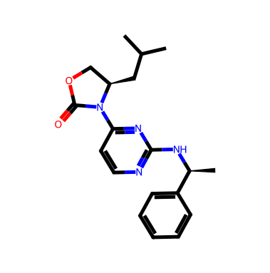 CC(C)C[C@@H]1COC(=O)N1c1ccnc(N[C@@H](C)c2ccccc2)n1